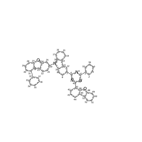 c1ccc(-c2nc(-c3ccc4c(c3)c3ccccc3n4-c3ccc4c(c3)oc3cccc(-c5ccccc5)c34)nc(-c3cccc4c3oc3ccccc34)n2)cc1